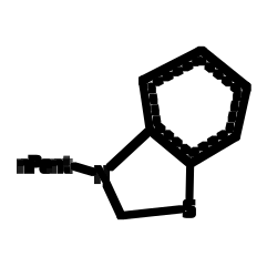 CCCCCN1CSc2ccccc21